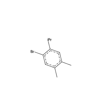 Cc1cc(Br)c(C(C)C)cc1C